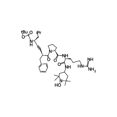 CC(C)C[C@@H](C#C[C@H](Cc1ccccc1)C(=O)N1CCC[C@H]1C(=O)N[C@@H](CCCNC(=N)N)C(=O)NC1CC(C)(C)N(O)C(C)(C)C1)NC(=O)OC(C)(C)C